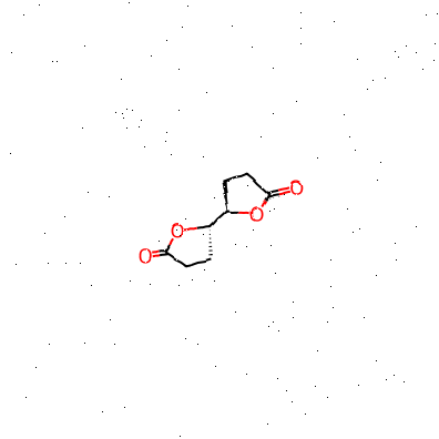 O=C1CC[C@@H]([C@H]2CCC(=O)O2)O1